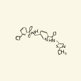 Cc1ncc(CNC(=O)c2ccc(CNS(=O)(=O)c3cccc(Cl)c3)cn2)s1